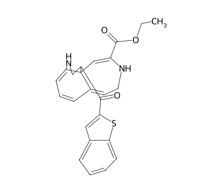 CCOC(=O)C1=CC23C(=CCN1)C=CC=C2NCC3C(=O)c1cc2ccccc2s1